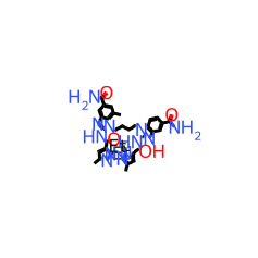 CCn1nc(C)cc1C(=O)Nc1nc2cc(C(N)=O)cc(C)c2n1CCCCn1c(NC(O)c2cc(C)nn2CC)nc2cc(C(N)=O)ccc21